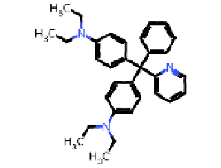 CCN(CC)c1ccc(C(c2ccccc2)(c2ccc(N(CC)CC)cc2)c2ccccn2)cc1